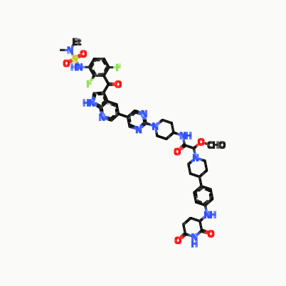 CCN(C)S(=O)(=O)Nc1ccc(F)c(C(=O)c2c[nH]c3ncc(-c4cnc(N5CCC(NC(=O)C(OC=O)N6CCC(c7ccc(NC8CCC(=O)NC8=O)cc7)CC6)CC5)nc4)cc23)c1F